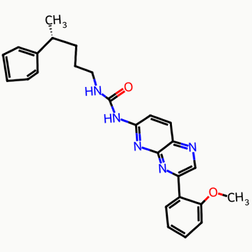 COc1ccccc1-c1cnc2ccc(NC(=O)NCCC[C@@H](C)c3ccccc3)nc2n1